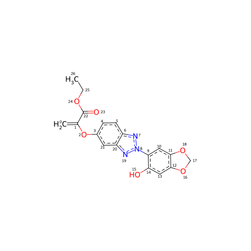 C=C(Oc1ccc2nn(-c3cc4c(cc3O)OCO4)nc2c1)C(=O)OCC